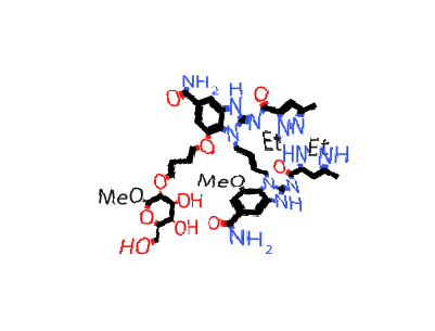 CCN/C(=C\C(C)=N)C(=O)/N=c1/[nH]c2cc(C(N)=O)cc(OC)c2n1C/C=C/Cn1/c(=N/C(=O)c2cc(C)nn2CC)[nH]c2cc(C(N)=O)cc(OCCCCO[C@H]3[C@@H](OC)O[C@H](CO)[C@@H](O)[C@@H]3O)c21